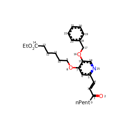 CCCCCC(=O)C=Cc1cc(OCCCCCC(=O)OCC)c(OCc2ccccc2)cn1